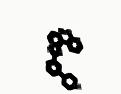 COc1ncccc1-c1cccn2nc(-c3[c]ccc(C4CCNCC4)c3)nc12